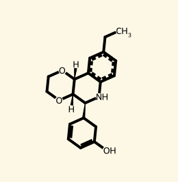 CCc1ccc2c(c1)[C@H]1OCCO[C@H]1[C@H](C1C=CC=C(O)C1)N2